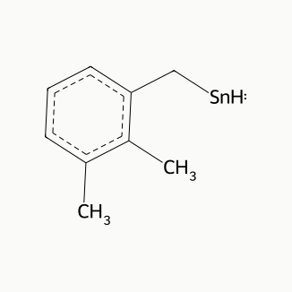 Cc1cccc([CH2][SnH])c1C